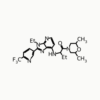 CCC(Nc1ccnc2c1nc(-c1ccc(C(F)(F)F)nc1)n2CC)C(=O)N1CC(C)OC(C)C1